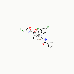 O=C(NC1=N[C@@]2(c3ccc(F)cc3F)CO[C@@H](c3nc(C(F)F)co3)C[C@H]2CS1)c1ccccc1